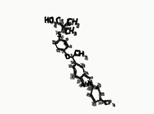 CC(Oc1ccc(SC(C)(C)C(=O)O)cc1)c1ccc2nn(-c3ccc(C(F)(F)F)cc3)cc2c1